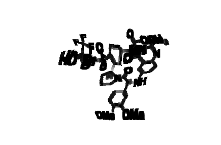 COC(=O)Nc1ccc(S(=O)(=O)C(C)C)c([C@H]2CCCN2C(=O)[C@H](Nc2ccc3nc(C)[nH]c(=O)c3c2)c2ccc(OC)c(OC)c2)c1.O=C(O)C(F)(F)F